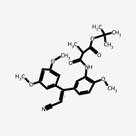 COc1cc(OC)cc(/C(=C\C#N)c2ccc(OC)c(NC(=O)C(C)C(=O)OC(C)(C)C)c2)c1